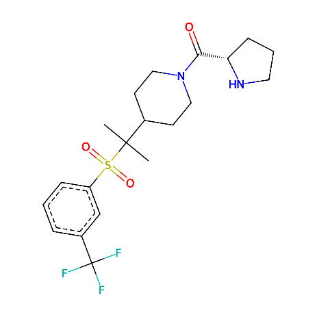 CC(C)(C1CCN(C(=O)[C@@H]2CCCN2)CC1)S(=O)(=O)c1cccc(C(F)(F)F)c1